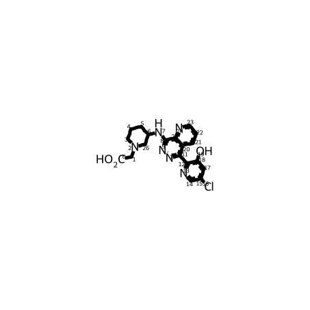 O=C(O)CN1CCCC(Nc2nnc(-c3ncc(Cl)cc3O)c3cccnc23)C1